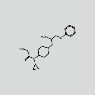 COC(COc1ccccc1)CN1CCC(N(C(=O)OC(C)(C)C)C2CC2)CC1